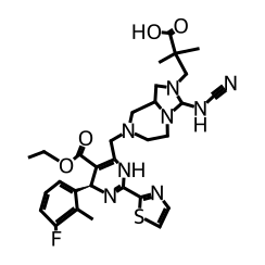 CCOC(=O)C1=C(CN2CCN3C(C2)CN(CC(C)(C)C(=O)O)C3NC#N)NC(c2nccs2)=N[C@H]1c1cccc(F)c1C